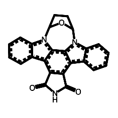 O=C1NC(=O)c2c1c1c3ccccc3n3c1c1c2c2ccccc2n1C1CCC3O1